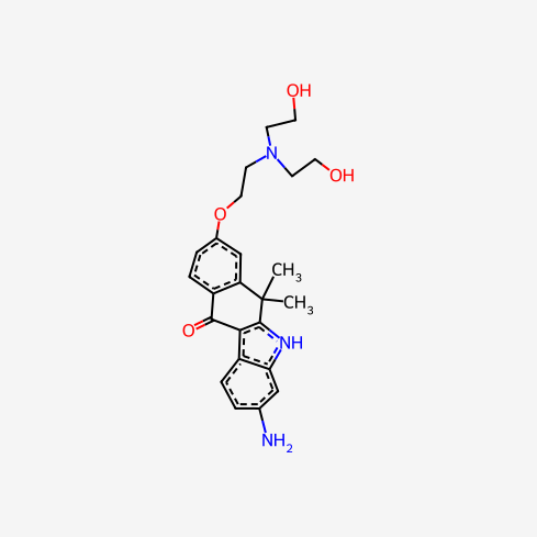 CC1(C)c2cc(OCCN(CCO)CCO)ccc2C(=O)c2c1[nH]c1cc(N)ccc21